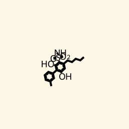 CCCCCc1cc(O)c(-c2cccc(C)c2)c(O)c1S(N)(=O)=O